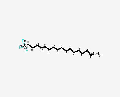 CCCCCCCCCCCCCCCCC[Si](F)(F)F